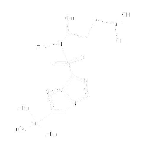 CCC[CH2][Sn]([CH2]CCC)([CH2]CCC)[c]1cn2cnc(S(=O)(=O)N(C)C(CO[SiH](C)C)C(C)(C)C)c2s1